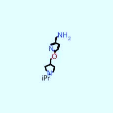 CC(C)N1CCC(COc2ccc(CN)cn2)CC1